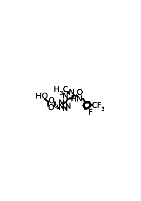 Cc1nc(C(=O)NCc2ccc(F)c(C(F)(F)F)c2)cc(-c2nnn(C[C@H]3COC(CO)CO3)n2)n1